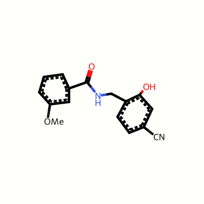 COc1cccc(C(=O)NCc2ccc(C#N)cc2O)c1